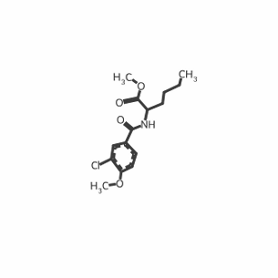 CCCCC(NC(=O)c1ccc(OC)c(Cl)c1)C(=O)OC